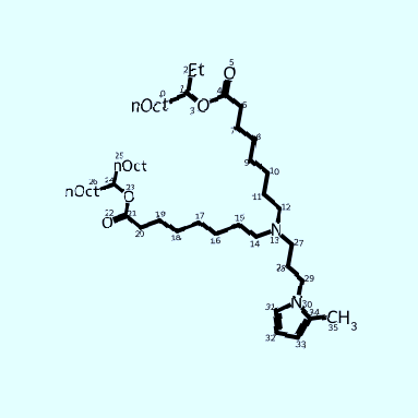 CCCCCCCCC(CC)OC(=O)CCCCCCCN(CCCCCCCC(=O)OC(CCCCCCCC)CCCCCCCC)CCCn1cccc1C